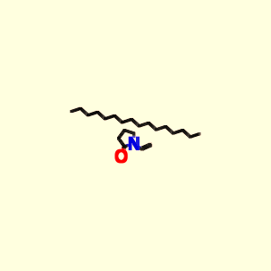 C=CN1CCCC1=O.CCCCCCCCCCCCCCCC